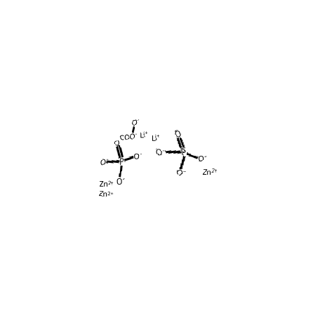 O=C([O-])[O-].O=P([O-])([O-])[O-].O=P([O-])([O-])[O-].[Li+].[Li+].[Zn+2].[Zn+2].[Zn+2]